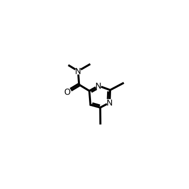 Cc1cc(C(=O)N(C)C)nc(C)n1